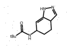 CC(C)(C)C(=O)NC1C=C2NN=CC2CC1